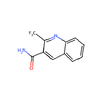 NC(=O)c1cc2ccccc2nc1C(F)(F)F